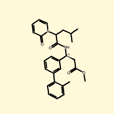 COC(=O)C[C@H](NC(=O)C(CC(C)C)n1ccccc1=O)c1cccc(-c2ccccc2C)c1